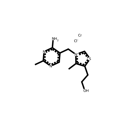 Cc1ncc(C[n+]2csc(CCO)c2C)c(N)n1.[Cl-].[Cr]